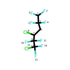 FC(F)C(F)(F)CC(Cl)C(F)(F)C(F)(F)Cl